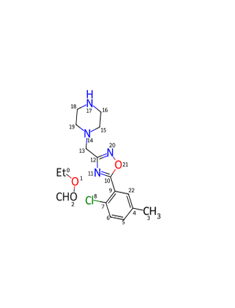 CCOC=O.Cc1ccc(Cl)c(-c2nc(CN3CCNCC3)no2)c1